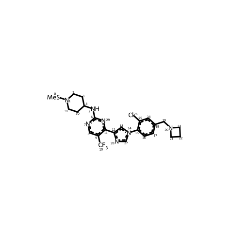 CSN1CCC(Nc2ncc(C(F)(F)F)c(-c3cn(-c4ccc(CN5CCC5)cc4Cl)cn3)n2)CC1